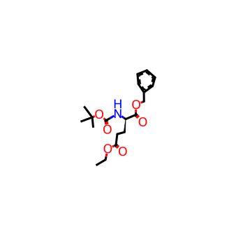 CCOC(=O)CC[C@@H](NC(=O)OC(C)(C)C)C(=O)OCc1ccccc1